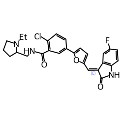 CCN1CCCC1CNC(=O)c1cc(-c2ccc(/C=C3/C(=O)Nc4ccc(F)cc43)o2)ccc1Cl